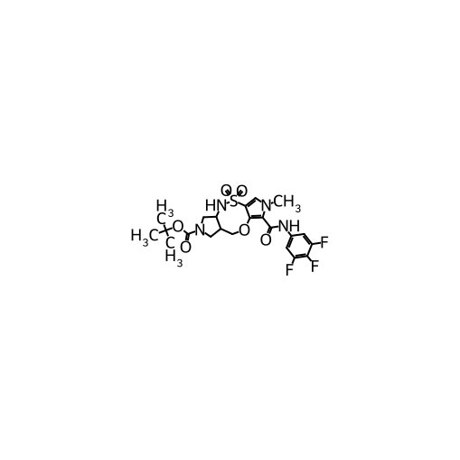 Cn1cc2c(c1C(=O)Nc1cc(F)c(F)c(F)c1)OCC1CN(C(=O)OC(C)(C)C)CC1NS2(=O)=O